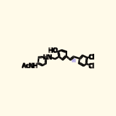 CC(=O)Nc1ccc(NCc2cc(/C=C/c3ccc(Cl)c(Cl)c3)ccc2O)cc1